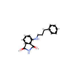 O=C1NC(=O)c2c(NCCCc3ccccc3)cccc21